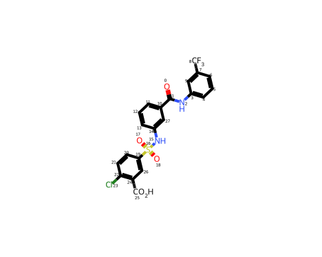 O=C(Nc1cccc(C(F)(F)F)c1)c1cccc(NS(=O)(=O)c2ccc(Cl)c(C(=O)O)c2)c1